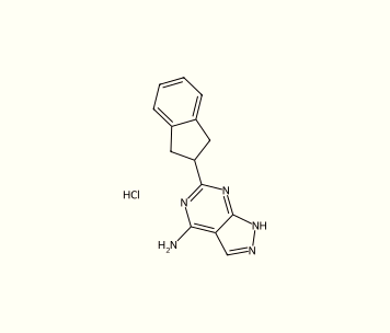 Cl.Nc1nc(C2Cc3ccccc3C2)nc2[nH]ncc12